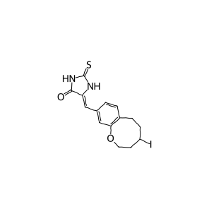 O=C1NC(=S)N/C1=C\c1ccc2c(c1)OCCC(I)CC2